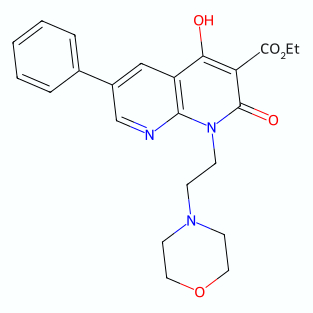 CCOC(=O)c1c(O)c2cc(-c3ccccc3)cnc2n(CCN2CCOCC2)c1=O